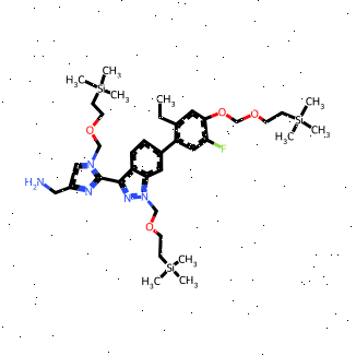 CCc1cc(OCOCC[Si](C)(C)C)c(F)cc1-c1ccc2c(-c3nc(CN)cn3COCC[Si](C)(C)C)nn(COCC[Si](C)(C)C)c2c1